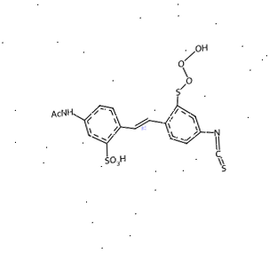 CC(=O)Nc1ccc(/C=C/c2ccc(N=C=S)cc2SOOO)c(S(=O)(=O)O)c1